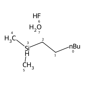 CCCCCC[SiH](C)C.F.O